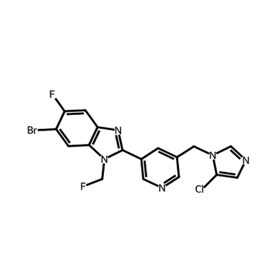 FCn1c(-c2cncc(Cn3cncc3Cl)c2)nc2cc(F)c(Br)cc21